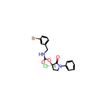 O=C(NCc1cccc(Br)c1)O[C@]1(Cl)CCN(c2ccccc2)C1=O